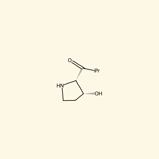 CC(C)C(=O)[C@H]1NCC[C@H]1O